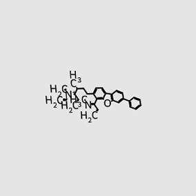 C=C/C(=N/C)c1c(CCC(C)C(C=C)[N+](=C)C=C)ccc2c1oc1cc(-c3ccccc3)ccc12